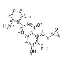 Cc1c(O)cc(O)c(C(=O)N2Cc3cccc(N)c3C2)c1OCC1CC1